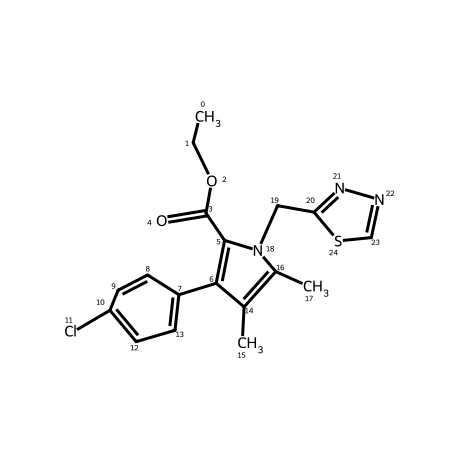 CCOC(=O)c1c(-c2ccc(Cl)cc2)c(C)c(C)n1Cc1nncs1